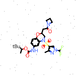 Cc1nn(C(F)F)cc1S(=O)(=O)N1CC(CC(=O)N2CCC2)Oc2ccc(NC(=O)OC(C)C(C)(C)C)cc21